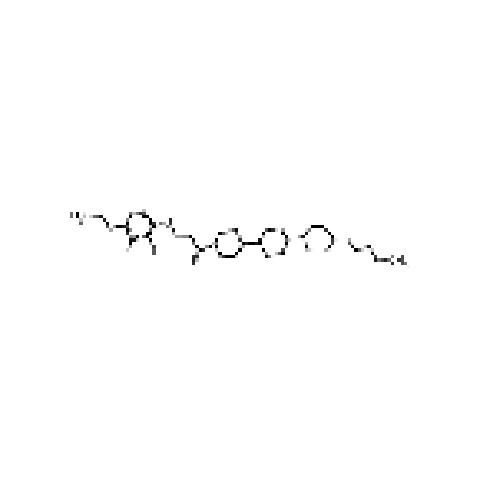 CCCCCC1CCC(C2CCC(C3CCC(C(F)CCOc4ccc(OCC)c(F)c4F)CC3)CC2)CC1